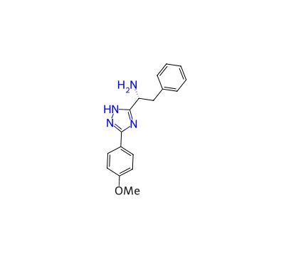 COc1ccc(-c2n[nH]c([C@H](N)Cc3ccccc3)n2)cc1